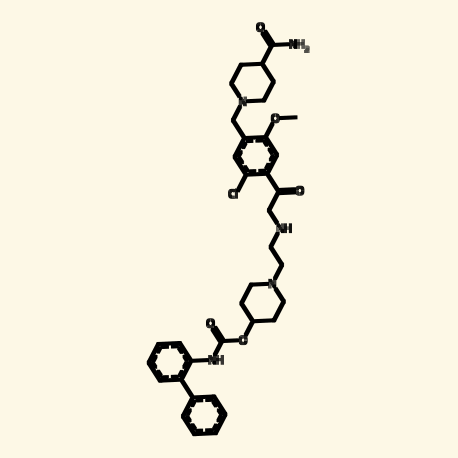 COc1cc(C(=O)CNCCN2CCC(OC(=O)Nc3ccccc3-c3ccccc3)CC2)c(Cl)cc1CN1CCC(C(N)=O)CC1